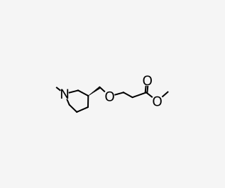 COC(=O)CCOC[C@H]1CCCN(C)C1